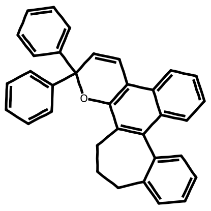 C1=CC(c2ccccc2)(c2ccccc2)Oc2c3c(c4ccccc4c21)-c1ccccc1CCC3